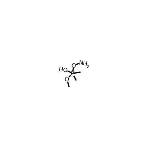 COP(C)(C)(O)ON